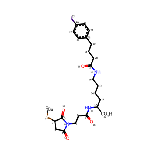 CC(C)(C)SC1CC(=O)N(CCC(=O)NC(CCCCNC(=O)CCCc2ccc(I)cc2)C(=O)O)C1=O